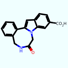 O=C1Cn2c(cc3ccc(C(=O)O)cc32)-c2ccccc2CN1